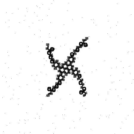 C=CC(=O)OCCOCCOc1ccc(-c2cc(-c3ccc(OCCOCCOC(=O)C=C)cc3)c3ccc4c(-c5ccc(OCOCOC(=O)C=C)cc5)cc(-c5ccc(OCOCOC(=O)C=C)cc5)c5ccc2c3c54)cc1